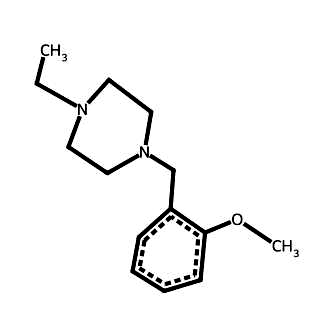 CCN1CCN(Cc2ccccc2OC)CC1